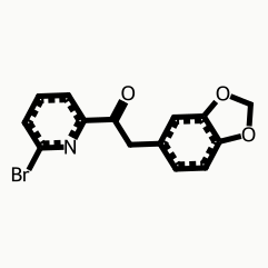 O=C(Cc1ccc2c(c1)OCO2)c1cccc(Br)n1